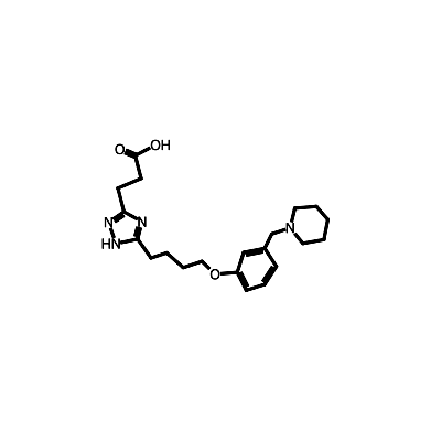 O=C(O)CCc1n[nH]c(CCCCOc2cccc(CN3CCCCC3)c2)n1